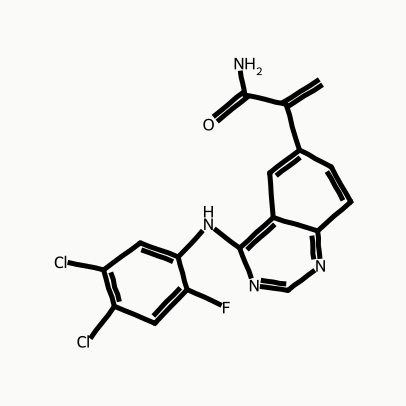 C=C(C(N)=O)c1ccc2ncnc(Nc3cc(Cl)c(Cl)cc3F)c2c1